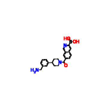 NCc1cccc(C2CCN(C(=O)c3ccc4cc(B(O)O)ncc4c3)CC2)c1